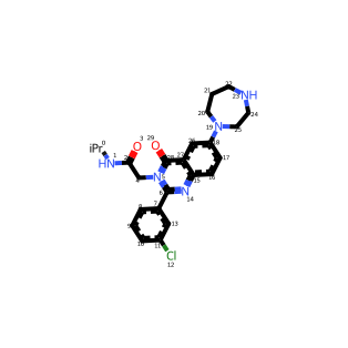 CC(C)NC(=O)Cn1c(-c2cccc(Cl)c2)nc2ccc(N3CCCNCC3)cc2c1=O